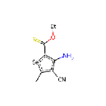 CCOC(=S)c1[se]c(C)c(C#N)c1N